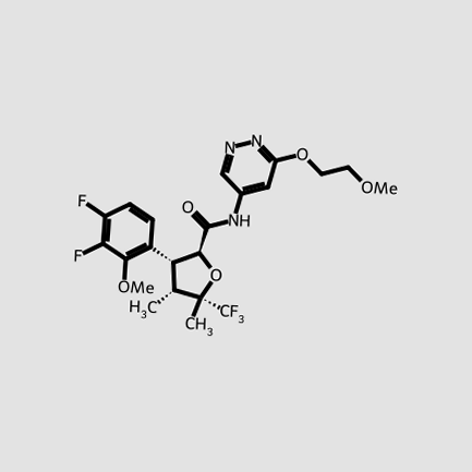 COCCOc1cc(NC(=O)[C@H]2O[C@](C)(C(F)(F)F)[C@H](C)[C@@H]2c2ccc(F)c(F)c2OC)cnn1